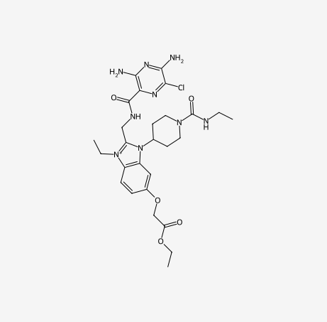 CCNC(=O)N1CCC(n2c(CNC(=O)c3nc(Cl)c(N)nc3N)[n+](CC)c3ccc(OCC(=O)OCC)cc32)CC1